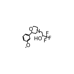 COc1cccc(C2CN(C[C@H](O)C(F)(F)F)CCO2)c1